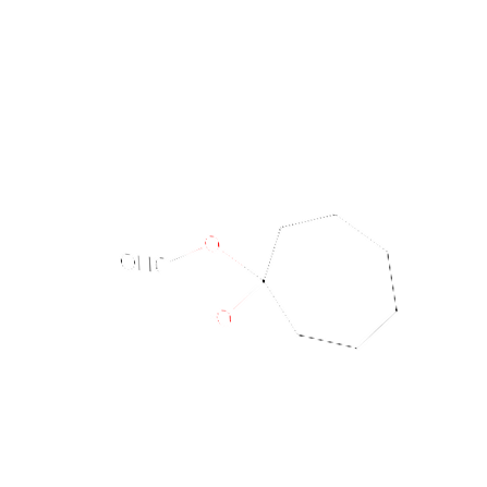 [O]C1(OC=O)CCCCCC1